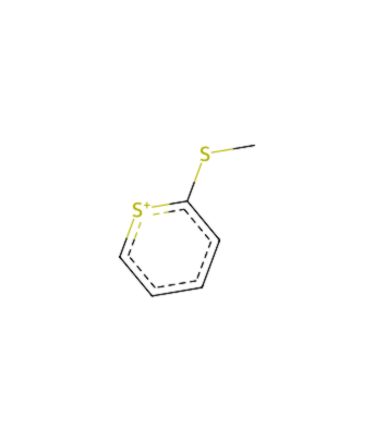 CSc1cccc[s+]1